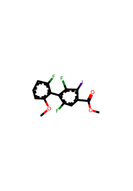 COC(=O)c1cc(F)c(-c2c(F)cccc2OC)c(F)c1I